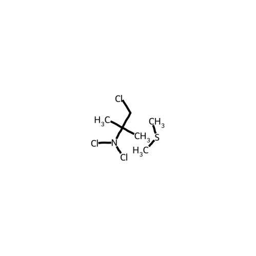 CC(C)(CCl)N(Cl)Cl.CSC